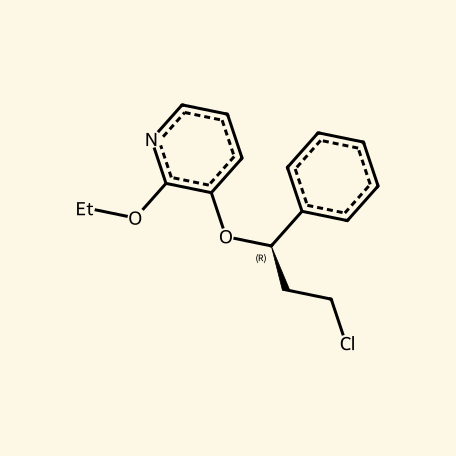 CCOc1ncccc1O[C@H](CCCl)c1ccccc1